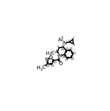 CC(=O)N(C1CC1)[C@H]1C[C@@H](C)N(C(=O)c2cc(C)no2)c2ccccc21